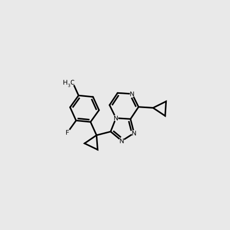 Cc1ccc(C2(c3nnc4c(C5CC5)nccn34)CC2)c(F)c1